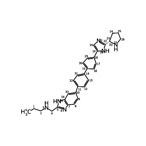 CCCNCc1nc2ccc(-c3ccc(-c4ccc(-c5cnc([C@@H]6CCCN6)[nH]5)cc4)cc3)cc2[nH]1